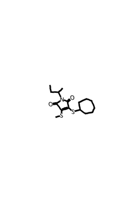 CCC(C)N1C(=O)C(SC)=C(SC2CCCCCC2)C1=O